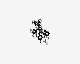 CC1CCC(Cn2c(C(C)c3ccccc3F)nc3nc(-c4n[nH]c(=O)o4)nc(-c4cncc(Cl)c4)c32)CC1